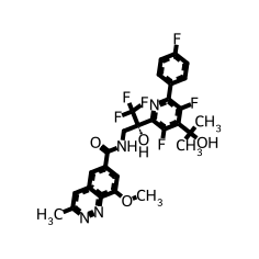 COc1cc(C(=O)NC[C@](O)(c2nc(-c3ccc(F)cc3)c(F)c(C(C)(C)O)c2F)C(F)(F)F)cc2cc(C)nnc12